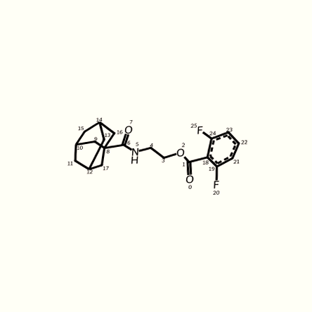 O=C(OCCNC(=O)C12CC3CC(CC(C3)C1)C2)c1c(F)cccc1F